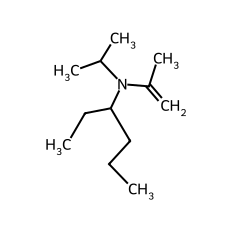 C=C(C)N(C(C)C)C(CC)CCC